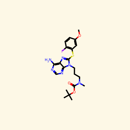 COc1ccc(I)c(Sc2nc3c(N)ncnc3n2CCCN(C)C(=O)OC(C)(C)C)c1